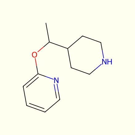 CC(Oc1ccccn1)C1CCNCC1